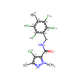 CCc1nn(C)c(C(=O)NCc2c(F)c(F)c(C(C)(C)C)c(F)c2F)c1Cl